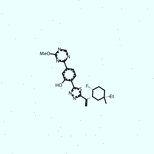 C=C(c1nnc(-c2ccc(-c3ncnc(OC)n3)cc2O)s1)[C@H]1C[C@@](C)(CC)CC[C@H]1F